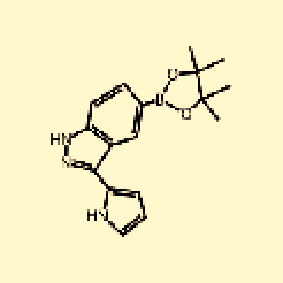 CC1(C)OB(c2ccc3[nH]nc(-c4ccc[nH]4)c3c2)OC1(C)C